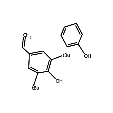 C=Cc1cc(C(C)(C)C)c(O)c(C(C)(C)C)c1.Oc1ccccc1